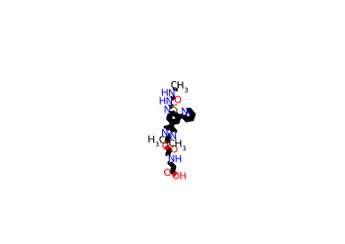 CCNC(=O)Nc1nc2cc(-c3cnc(C(C)(C)OC(=O)CNCCC(=O)O)nc3)cc(-c3ccccn3)c2s1